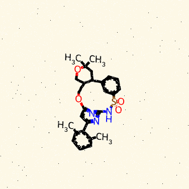 Cc1cccc(C)c1-c1cc2nc(n1)NS(=O)(=O)c1cccc(c1)C1CC(C)(C)OCC1CO2